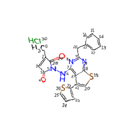 CC1=CC(=O)N(Nc2nc(Cc3ccccc3)nc3scc(-c4cccs4)c23)C1=O.Cl